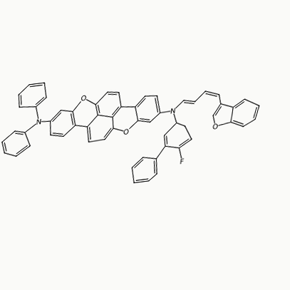 FC1=CCC(N(/C=C/C=C\c2coc3ccccc23)c2ccc3c(c2)Oc2ccc4c5c(ccc-3c25)Oc2cc(N(c3ccccc3)c3ccccc3)ccc2-4)C=C1c1ccccc1